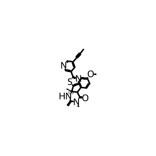 C=C1N[C@](C)(c2cnc(-c3cncc(C#CC)c3)s2)C(c2ccc(OC)cc2)C(=O)N1C